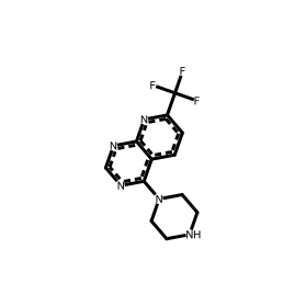 FC(F)(F)c1ccc2c(N3CCNCC3)ncnc2n1